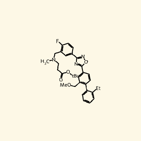 CCc1ccccc1-c1ccc(-c2nc(-c3ccc(F)c(CN(C)CCC(=O)OC(C)(C)C)c3)no2)cc1COC